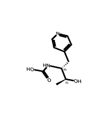 C[C@H](O)[C@@H](Cc1ccncc1)NC(=O)O